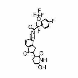 O=C1NC(O)CCC1C1Cc2cc(CNC(=O)C(F)(I)c3ccc(F)cc3OC(F)(F)F)ccc2C1=O